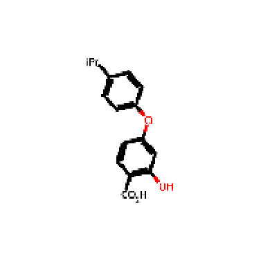 CC(C)c1ccc(Oc2ccc(C(=O)O)c(O)c2)cc1